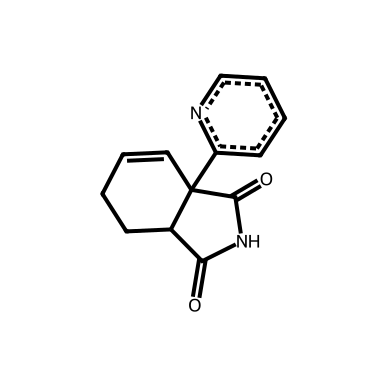 O=C1NC(=O)C2(c3ccccn3)C=CCCC12